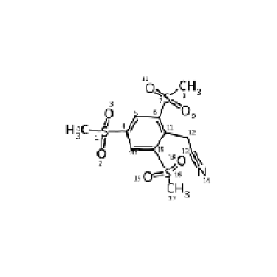 CS(=O)(=O)c1cc(S(C)(=O)=O)c(CC#N)c(S(C)(=O)=O)c1